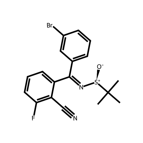 CC(C)(C)[S@+]([O-])/N=C(\c1cccc(Br)c1)c1cccc(F)c1C#N